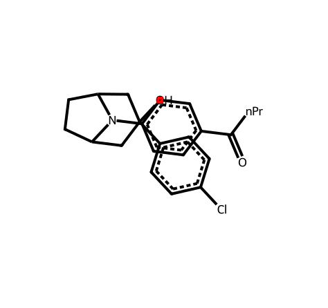 CCCC(=O)c1ccc(N2C3CCC2CC(O)(c2ccc(Cl)cc2)C3)cc1